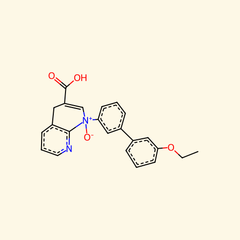 CCOc1cccc(-c2cccc([N+]3([O-])C=C(C(=O)O)Cc4cccnc43)c2)c1